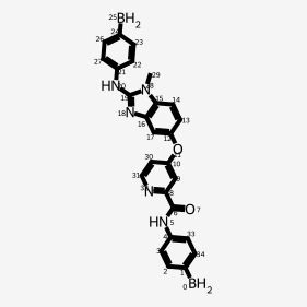 Bc1ccc(NC(=O)c2cc(Oc3ccc4c(c3)nc(Nc3ccc(B)cc3)n4C)ccn2)cc1